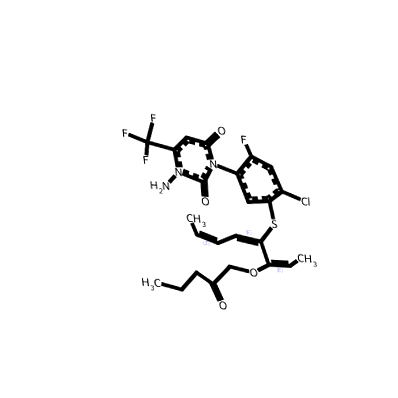 C\C=C/C=C(Sc1cc(-n2c(=O)cc(C(F)(F)F)n(N)c2=O)c(F)cc1Cl)\C(=C/C)OCC(=O)CCC